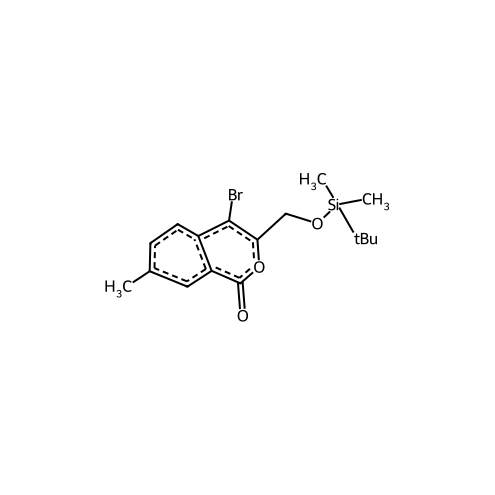 Cc1ccc2c(Br)c(CO[Si](C)(C)C(C)(C)C)oc(=O)c2c1